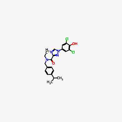 CCN(Cc1ccc(C(C)C)cc1)C(=O)c1ncn(-c2cc(Cl)c(O)c(Cl)c2)n1